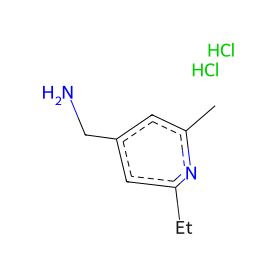 CCc1cc(CN)cc(C)n1.Cl.Cl